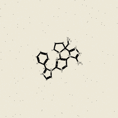 Cc1nnc2n1-c1cnc(-n3ccnc3-c3ccccc3)nc1N1CCCC21CC(F)(F)F